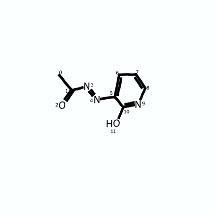 CC(=O)N=Nc1cccnc1O